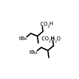 CC(CC(=O)O)CC(C)(C)C.CC(CC(=O)O)CC(C)(C)C.O